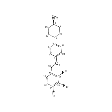 CCC[C@H]1CC[C@H](c2ccc(OCc3ccc(F)c(F)c3F)cc2)CC1